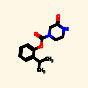 CC(C)c1ccccc1OC(=O)N1CCNC(=O)C1